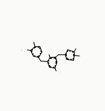 CC(C)c1cc(Cc2ccc(O)c(C=O)c2)c(O)c(Cc2ccc(O)c(C=O)c2)c1